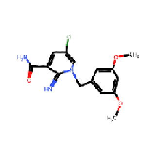 COc1cc(Cn2cc(Cl)cc(C(N)=O)c2=N)cc(OC)c1